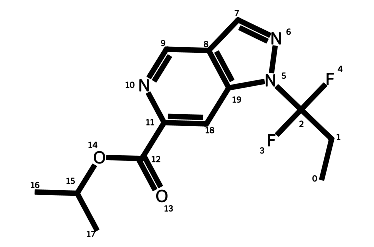 CCC(F)(F)n1ncc2cnc(C(=O)OC(C)C)cc21